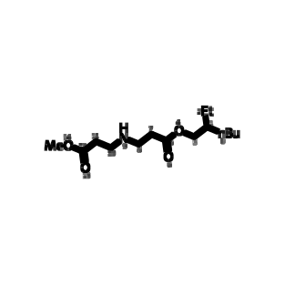 CCCCC(CC)COC(=O)CCNCCC(=O)OC